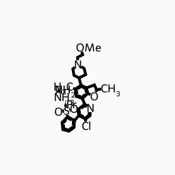 COCCN1CCC(c2c(C)cc(-c3cc(-c4ccccc4S(=O)(=O)C(C)C)c(Cl)cn3)c3c2CC(C)O3)CC1.NN